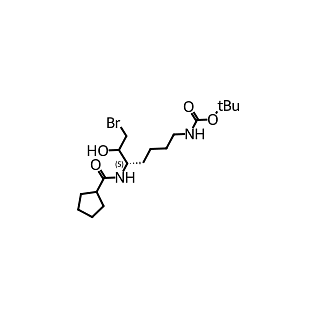 CC(C)(C)OC(=O)NCCCC[C@H](NC(=O)C1CCCC1)C(O)CBr